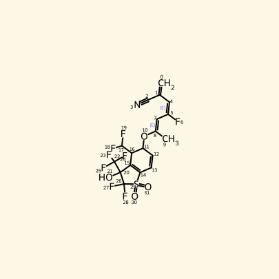 C=C(C#N)/C=C(F)\C=C(/C)OC1C=CC2=C(C1C(F)F)C(O)(C(F)(F)F)C(F)(F)S2(=O)=O